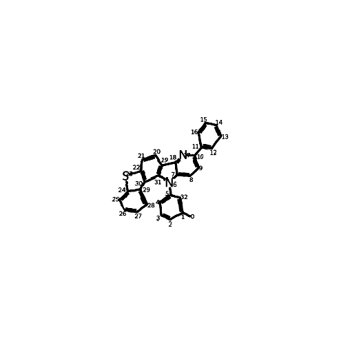 Cc1cccc(-n2c3ccc(-c4ccccc4)nc3c3ccc4sc5ccccc5c4c32)c1